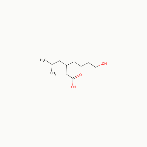 CC(C)CC(CCCCO)CC(=O)O